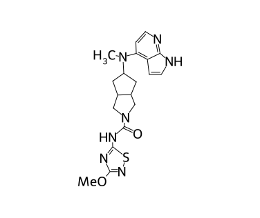 COc1nsc(NC(=O)N2CC3CC(N(C)c4ccnc5[nH]ccc45)CC3C2)n1